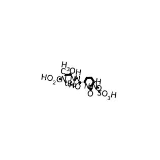 C[C@H](C(=O)NNC(=O)[C@@H]1CC[C@@H]2CN1C(=O)N2OS(=O)(=O)O)N(C(=O)O)C(C)(C)C